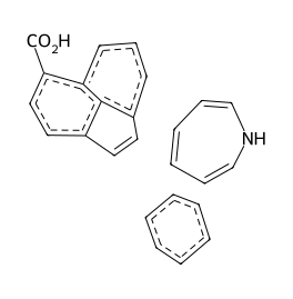 C1=CC=CNC=C1.O=C(O)c1ccc2c3c(cccc13)C=C2.c1ccccc1